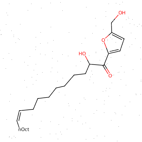 CCCCCCCC/C=C\CCCCCCCC(O)C(=O)c1ccc(CO)o1